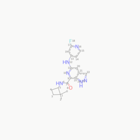 CC1(C)CCC1NC(=O)c1nc(Nc2ccnc(F)c2)cc2cn[nH]c12